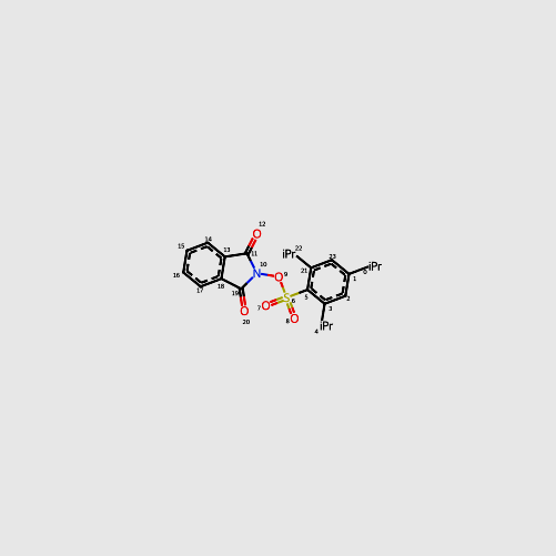 CC(C)c1cc(C(C)C)c(S(=O)(=O)ON2C(=O)c3ccccc3C2=O)c(C(C)C)c1